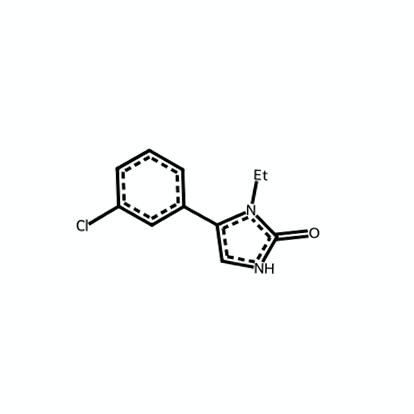 CCn1c(-c2cccc(Cl)c2)c[nH]c1=O